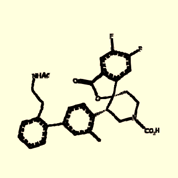 CC(=O)NCCc1ccccc1-c1ccc([C@H]2CN(C(=O)O)CC[C@@]23OC(=O)c2cc(F)c(F)cc23)c(C)c1